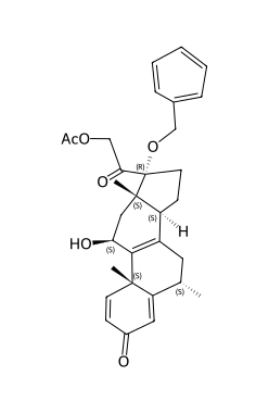 CC(=O)OCC(=O)[C@@]1(OCc2ccccc2)CC[C@H]2C3=C([C@@H](O)C[C@@]21C)[C@@]1(C)C=CC(=O)C=C1[C@@H](C)C3